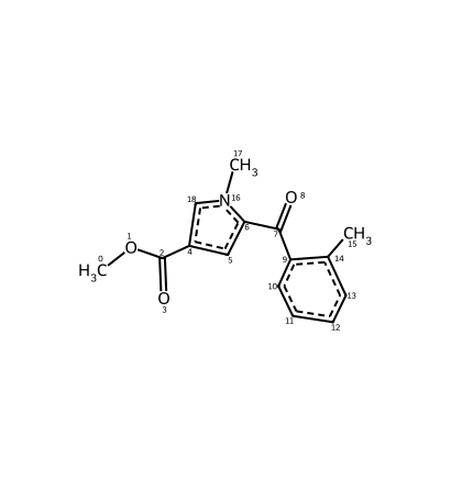 COC(=O)c1cc(C(=O)c2ccccc2C)n(C)c1